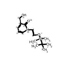 CC(C)(C)[Si](C)(C)OCCn1cccc(CO)c1=O